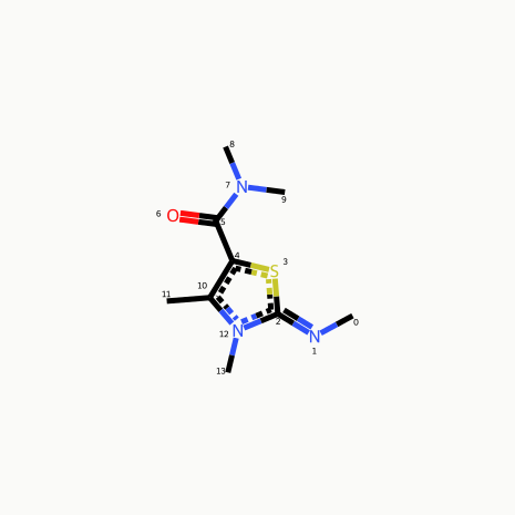 C/N=c1\sc(C(=O)N(C)C)c(C)n1C